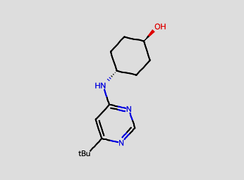 CC(C)(C)c1cc(N[C@H]2CC[C@H](O)CC2)ncn1